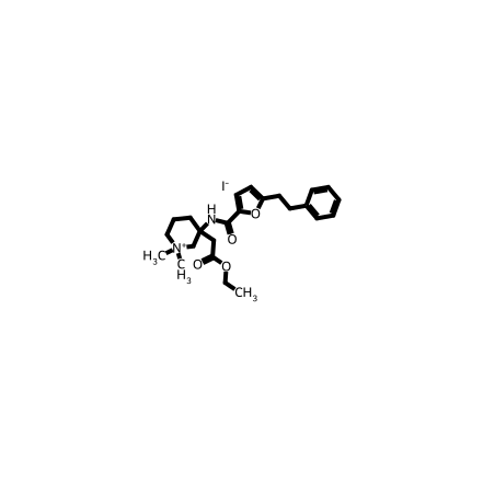 CCOC(=O)CC1(NC(=O)c2ccc(CCc3ccccc3)o2)CCC[N+](C)(C)C1.[I-]